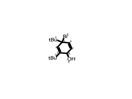 CC(C)(C)C1=CC(Br)(C(C)(C)C)C=CC1O